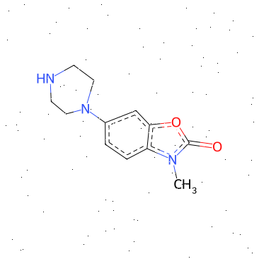 Cn1c(=O)oc2cc(N3CCNCC3)ccc21